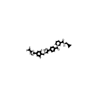 O=C(NCC1CC1)C1CCCN(C(=O)c2ccc(-c3cn(Cc4c(F)cc(-c5nnc(C(F)F)o5)cc4F)nn3)cc2)C1